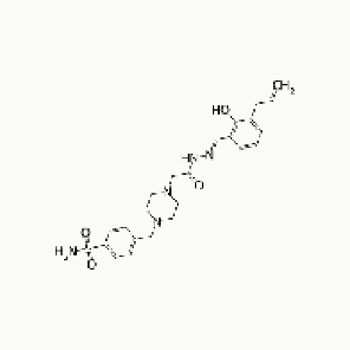 C=CCc1cccc(/C=N/NC(=O)CN2CCN(Cc3ccc(S(N)(=O)=O)cc3)CC2)c1O